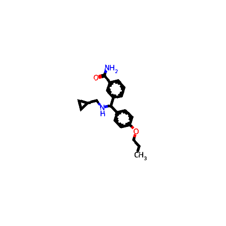 CCCOc1ccc(C(NCC2CC2)c2cccc(C(N)=O)c2)cc1